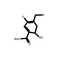 COC(=O)C1=CC(F)=C(CBr)CC1N=O